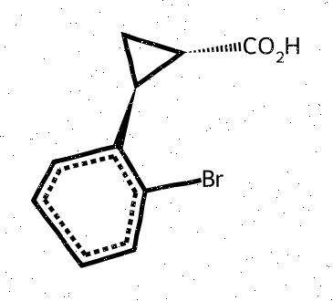 O=C(O)[C@H]1C[C@@H]1c1ccccc1Br